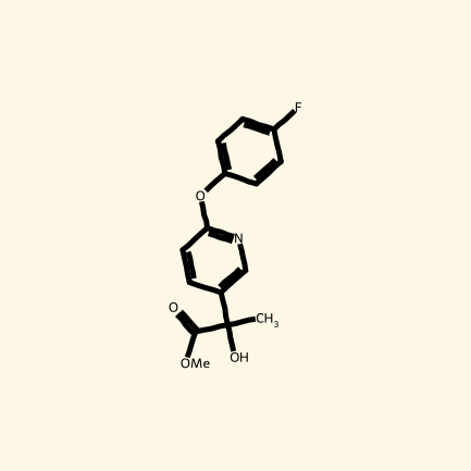 COC(=O)C(C)(O)c1ccc(Oc2ccc(F)cc2)nc1